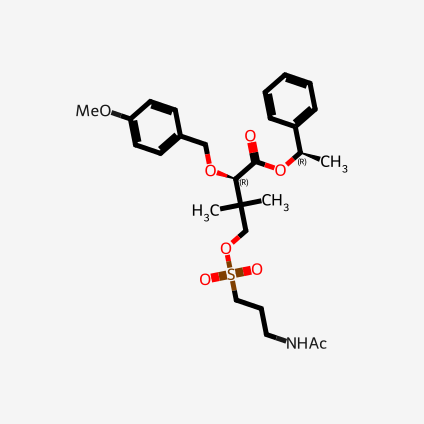 COc1ccc(CO[C@@H](C(=O)O[C@H](C)c2ccccc2)C(C)(C)COS(=O)(=O)CCCNC(C)=O)cc1